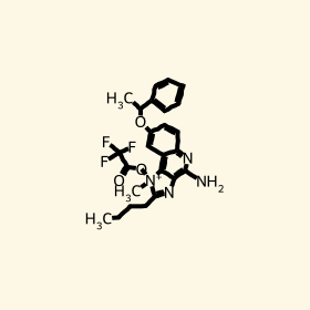 CCCCC1=Nc2c(N)nc3ccc(OC(C)c4ccccc4)cc3c2[N+]1(C)OC(=O)C(F)(F)F